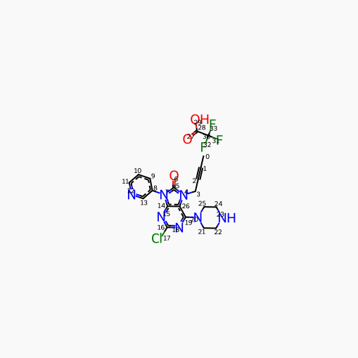 CC#CCn1c(=O)n(-c2cccnc2)c2nc(Cl)nc(N3CCNCC3)c21.O=C(O)C(F)(F)F